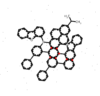 CC(C)c1cc2ccc3c(N(c4ccc(-c5ccccc5)cc4-c4ccccc4)c4cccc5c4oc4ccccc45)cc(N(c4ccc(-c5ccccc5)cc4-c4ccccc4)c4cccc5c4oc4ccccc45)c4ccc(c1)c2c34